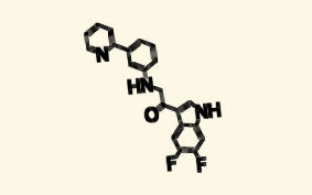 O=C(CNc1cccc(-c2ccccn2)c1)c1c[nH]c2cc(F)c(F)cc12